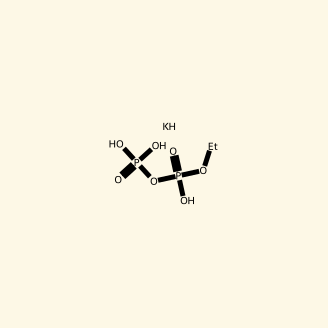 CCOP(=O)(O)OP(=O)(O)O.[KH]